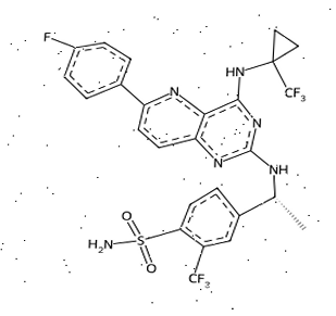 C[C@@H](Nc1nc(NC2(C(F)(F)F)CC2)c2nc(-c3ccc(F)cc3)ccc2n1)c1ccc(S(N)(=O)=O)c(C(F)(F)F)c1